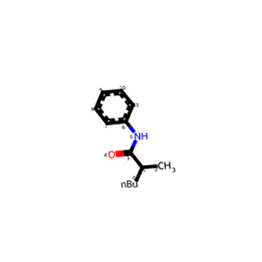 CCCCC(C)C(=O)Nc1ccccc1